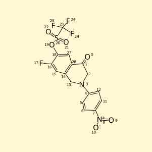 O=C1CN(c2ccc([N+](=O)[O-])cc2)Cc2cc(F)c(OS(=O)(=O)C(F)(F)F)cc21